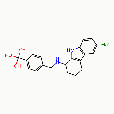 OC(O)(O)c1ccc(CNC2CCCc3c2[nH]c2ccc(Br)cc32)cc1